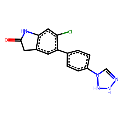 O=C1Cc2cc(-c3ccc(N4C=NNN4)cc3)c(Cl)cc2N1